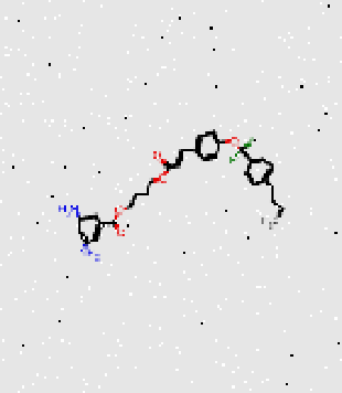 Nc1cc(N)cc(C(=O)OCCCCOC(=O)C=Cc2ccc(OC(F)(F)c3ccc(CCCC(F)(F)F)cc3)cc2)c1